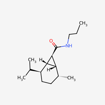 CCCNC(=O)[C@@H]1[C@@H]2[C@H]1[C@H](C)CC[C@H]2C(C)C